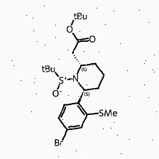 CSc1cc(Br)ccc1[C@@H]1CCC[C@@H](CC(=O)OC(C)(C)C)N1[S+]([O-])C(C)(C)C